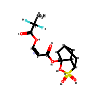 O=C(/C=C\OC(=O)C(F)(F)S(=O)(=O)O)OC12CC3CC1C(C3)S(=O)(=O)O2